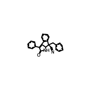 N#CC1(Cc2ccccc2)c2ccccc2C2=C(c3ccccc3)C(=O)NC21